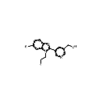 OCc1cncc(-c2nc3ccc(Br)cc3n2CCF)c1